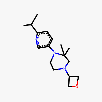 CC(C)c1ccc(N2CCN(C3COC3)CC2(C)C)cn1